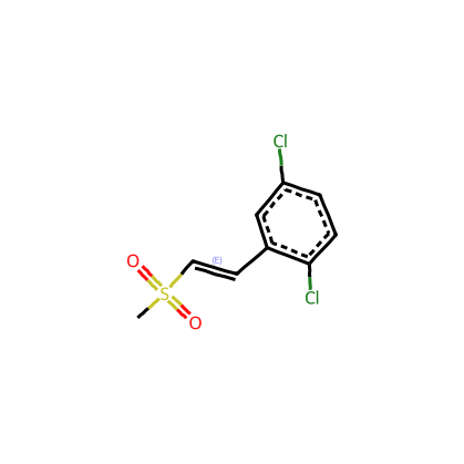 CS(=O)(=O)/C=C/c1cc(Cl)ccc1Cl